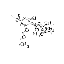 CCOCOc1cc(C(F)(F)F)cc(Cl)c1B1OC(C)(C)C(C)(C)O1